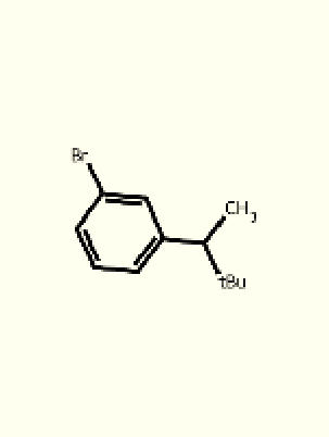 CC(c1cccc(Br)c1)C(C)(C)C